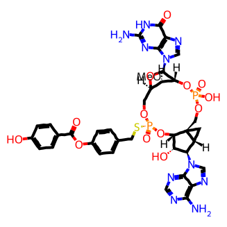 CO[C@H]1[C@H]2OP(=O)(O)OC[C@@]34C[C@@H]3[C@@H](n3cnc5c(N)ncnc53)[C@H](O)[C@@H]4O[P@](=O)(SCc3ccc(OC(=O)c4ccc(O)cc4)cc3)OC[C@H]1O[C@H]2n1cnc2c(=O)[nH]c(N)nc21